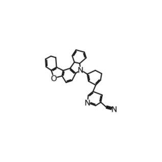 N#Cc1cncc(C2=CCCC(N3c4ccc5oc6c(c5c4C4C=CC=CC43)CCC=C6)=C2)c1